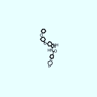 CN1CCN(c2ccc(C(=O)Nc3n[nH]c4ccc(Oc5ccc(Oc6ccccc6)cc5)cc34)cc2)CC1